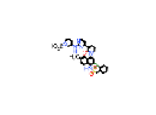 Cc1ccc2c(NS(=O)(=O)Cc3ccccc3Cl)cccc2c1Oc1ncccc1-c1ccnc(NC2CCCN(C(=O)O)C2)n1